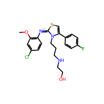 COc1cc(Cl)ccc1/N=c1/scc(-c2ccc(F)cc2)n1CCCNCCO